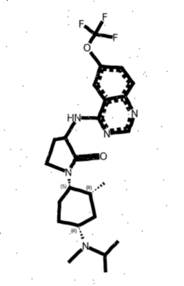 CC(C)N(C)[C@@H]1CC[C@H](N2CCC(Nc3ncnc4ccc(OC(F)(F)F)cc34)C2=O)[C@H](C)C1